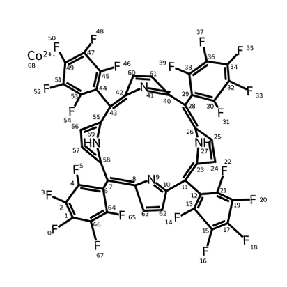 Fc1c(F)c(F)c(-c2c3nc(c(-c4c(F)c(F)c(F)c(F)c4F)c4ccc([nH]4)c(-c4c(F)c(F)c(F)c(F)c4F)c4nc(c(-c5c(F)c(F)c(F)c(F)c5F)c5ccc2[nH]5)C=C4)C=C3)c(F)c1F.[Co+2]